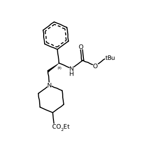 CCOC(=O)C1CCN(C[C@H](NC(=O)OC(C)(C)C)c2ccccc2)CC1